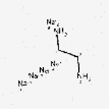 NCCN.[Na].[Na].[Na].[Na].[Na]